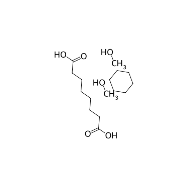 C1CCCCC1.CO.CO.O=C(O)CCCCCCC(=O)O